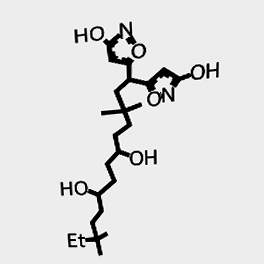 CCC(C)(C)CCC(O)CCC(O)CCC(C)(C)CC(c1cc(O)no1)c1cc(O)no1